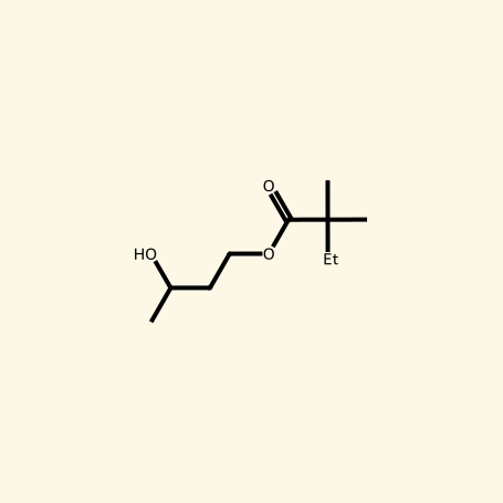 CCC(C)(C)C(=O)OCCC(C)O